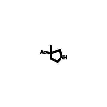 CC(=O)C1(C)CCNC1